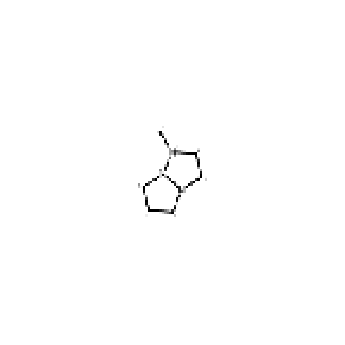 CN1CCN2CCCC12